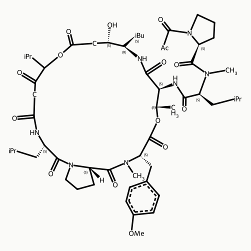 CC[C@H](C)[C@H]1NC(=O)[C@@H](NC(=O)[C@H](CC(C)C)N(C)C(=O)[C@@H]2CCCN2C(=O)C(C)=O)[C@@H](C)OC(=O)[C@H](Cc2ccc(OC)cc2)N(C)C(=O)[C@@H]2CCCN2C(=O)[C@H](CC(C)C)NC(=O)CC(=O)C(C(C)C)OC(=O)C[C@@H]1O